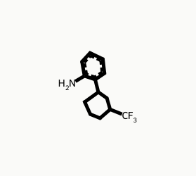 Nc1ccccc1C1CCCC(C(F)(F)F)C1